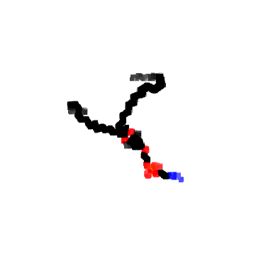 CCCCC/C=C\C/C=C\CCCCCCCCC1(CCCCCCCC/C=C\C/C=C\CCCCC)CC2(C1)O[C@H]1CC(OCCOP(=O)(O)OCCN)C[C@H]1O2